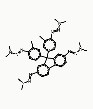 Cc1cc(C2(c3ccc(N=NN(C)C)c(C)c3)c3cc(N=NN(C)C)ccc3-c3ccc(N=NN(C)C)cc32)ccc1N=NN(C)C